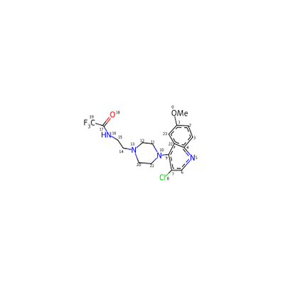 COc1ccc2ncc(Cl)c(N3CCN(CCNC(=O)C(F)(F)F)CC3)c2c1